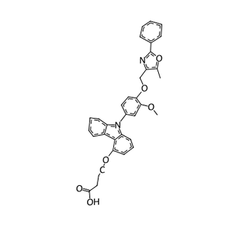 COc1cc(-n2c3ccccc3c3c(OCCCC(=O)O)cccc32)ccc1OCc1nc(-c2ccccc2)oc1C